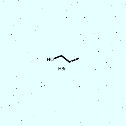 Br.CCCO